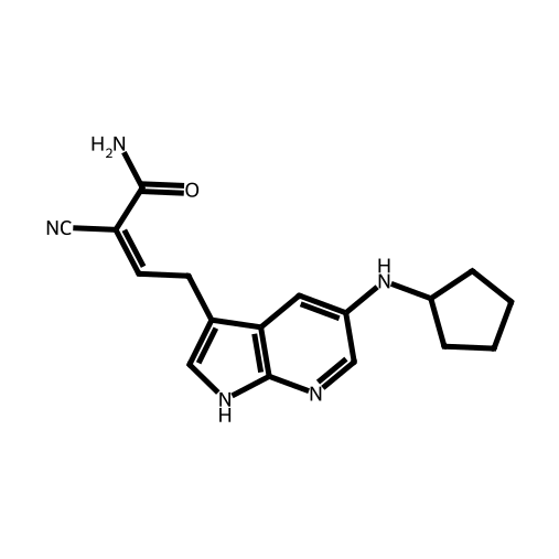 N#CC(=CCc1c[nH]c2ncc(NC3CCCC3)cc12)C(N)=O